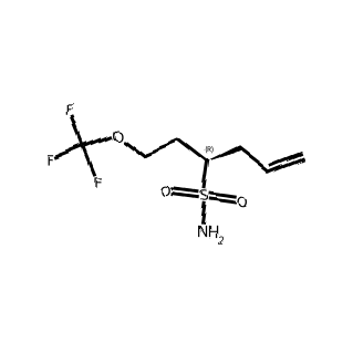 C=CC[C@H](CCOC(F)(F)F)S(N)(=O)=O